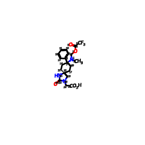 CN(COC(=O)C(F)(F)F)[C@]1(c2ccccc2)CC[C@]2(CC1)CN(CC(=O)O)C(=O)N2